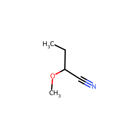 CCC(C#N)OC